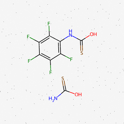 NC(O)=S.OC(=S)Nc1c(F)c(F)c(F)c(F)c1F